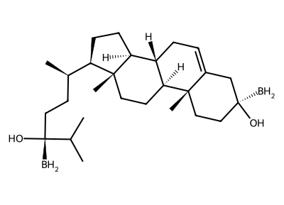 B[C@]1(O)CC[C@@]2(C)C(=CC[C@H]3[C@@H]4CC[C@H]([C@H](C)CC[C@@](B)(O)C(C)C)[C@@]4(C)CC[C@@H]32)C1